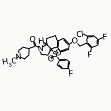 CN1CCC(C(=O)N2CC[C@@]3(S(=O)(=O)c4ccc(F)cc4)c4ccc(OCc5c(F)cc(F)cc5Cl)cc4CC[C@@H]23)CC1